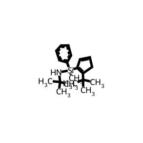 CC(C)(C)N[Si](C)(C1=C(C(C)(C)C)CC=C1)c1ccccc1